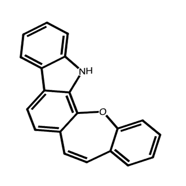 C1=Cc2ccc3c([nH]c4ccccc43)c2Oc2ccccc21